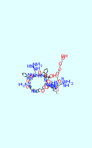 CCCC[C@H](NC(=O)[C@H](CCCNC(=N)N)NC(=O)CCOCCOCCOCCOO)C(=O)N[C@H]1CCC(=O)CCNCCCC[C@@H](C(N)=O)NC(=O)[C@H](Cc2c[nH]c3ccccc23)NC(=O)[C@H](CCCNC(=N)N)NC(=O)[C@@H](Cc2ccccc2)NC(=O)[C@@H]2C[C@@H](O)CN2C1=O